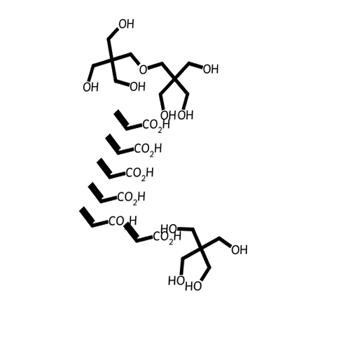 C=CC(=O)O.C=CC(=O)O.C=CC(=O)O.C=CC(=O)O.C=CC(=O)O.C=CC(=O)O.OCC(CO)(CO)CO.OCC(CO)(CO)COCC(CO)(CO)CO